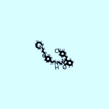 O=c1c2ccccc2c(Cc2ccc(Cl)cc2)nn1CCNCCc1ccc(OCCCN2CCCCCC2)cc1